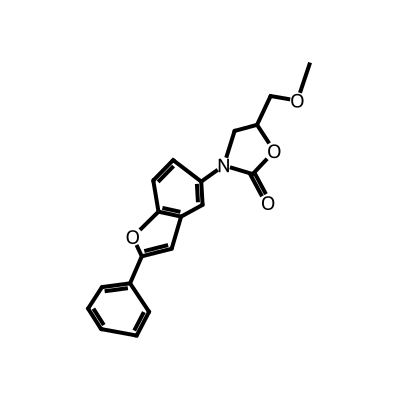 COCC1CN(c2ccc3oc(-c4ccccc4)cc3c2)C(=O)O1